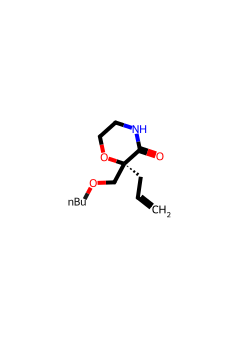 C=CC[C@]1(COCCCC)OCCNC1=O